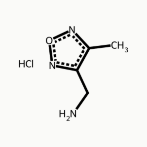 Cc1nonc1CN.Cl